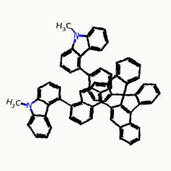 Cn1c2ccccc2c2c(-c3cccc4c(-c5cc6ccccc6c6c5C5(c7ccccc7-c7ccccc75)c5ccccc5-6)c5cccc(-c6cccc7c6c6ccccc6n7C)c5cc34)cccc21